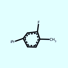 Cc1ccc(C(C)C)cc1F